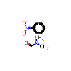 CN(C)C=O.O=[N+]([O-])c1ccccc1